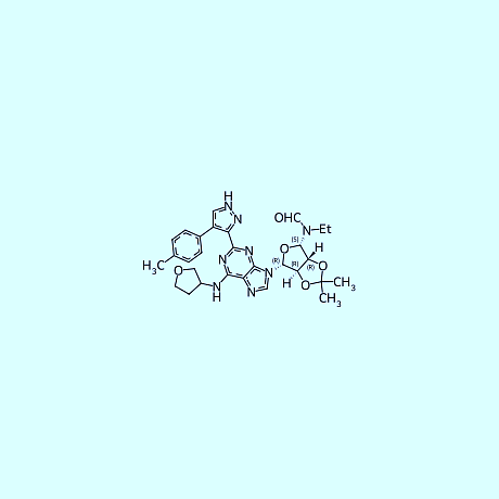 CCN(C=O)[C@H]1O[C@@H](n2cnc3c(NC4CCOC4)nc(-c4n[nH]cc4-c4ccc(C)cc4)nc32)[C@@H]2OC(C)(C)O[C@H]21